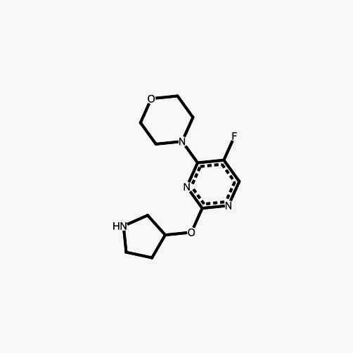 Fc1cnc(OC2CCNC2)nc1N1CCOCC1